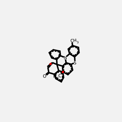 Cc1ccc2c(c1)N1c3ccccc3C3(c4ccccc4C(=O)c4ccccc43)c3c(C)ccc(c31)S2